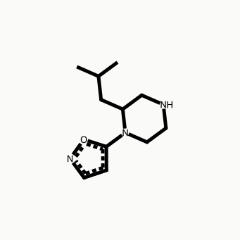 CC(C)CC1CNCCN1c1ccno1